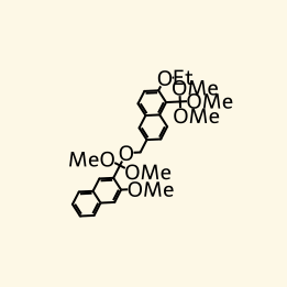 CCOc1ccc2cc(COC(OC)(OC)c3cc4ccccc4cc3OC)ccc2c1C(OC)(OC)OC